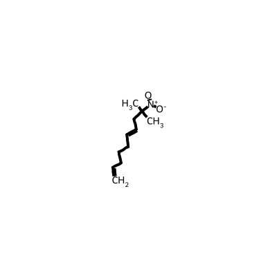 C=CCCCC=CCC(C)(C)[N+](=O)[O-]